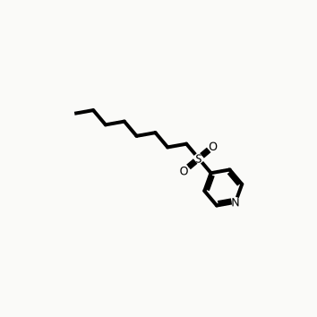 CCCCCCCCS(=O)(=O)c1ccncc1